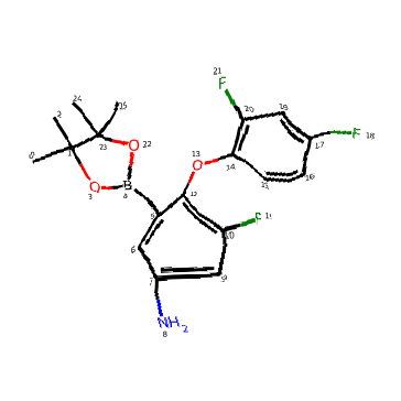 CC1(C)OB(c2cc(N)cc(F)c2Oc2ccc(F)cc2F)OC1(C)C